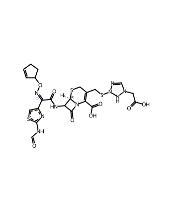 O=CNc1nc(/C(=N/OC2C=CCC2)C(=O)NC2C(=O)N3C(C(=O)O)=C(CSN4N=CN(CC(=O)O)N4)CS[C@H]23)cs1